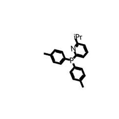 Cc1ccc(P(c2ccc(C)cc2)c2cccc(C(C)C)n2)cc1